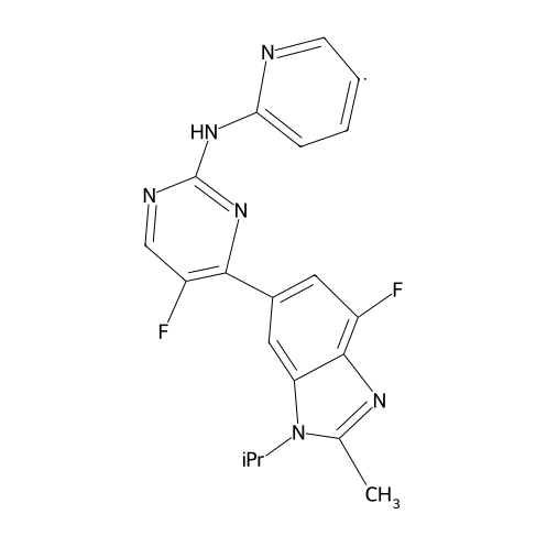 Cc1nc2c(F)cc(-c3nc(Nc4cc[c]cn4)ncc3F)cc2n1C(C)C